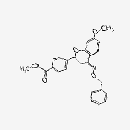 COC(=O)c1ccc(C2CC(=NOCc3ccccc3)c3ccc(OC)cc3O2)cc1